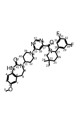 COc1ccc2c(c1)CCN(C1CCN(c3cc(C(=O)N4CC(C)(C)CCC4c4cc(F)cc(F)c4)ncn3)CC1)C(=O)N2